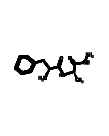 C[C@H](NC(=O)[C@@H](N)Cc1ccccc1)C(=O)NN